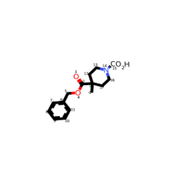 CC1(C(=O)OCc2ccccc2)CCN(C(=O)O)CC1